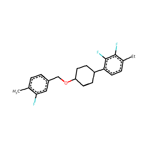 CCc1ccc(C2CCC(OCc3ccc(C)c(F)c3)CC2)c(F)c1F